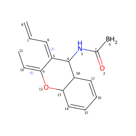 BC(=O)NC1C(=C/C=C)/C(=C\C)OC2C=CC=CC21